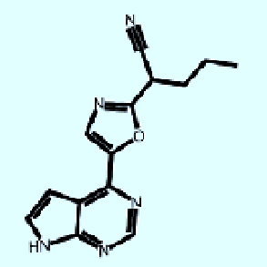 CCCC(C#N)c1ncc(-c2ncnc3[nH]ccc23)o1